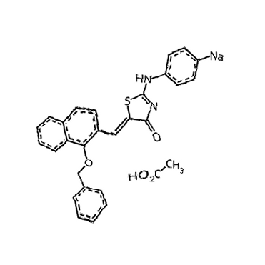 CC(=O)O.O=C1N=C(Nc2cc[c]([Na])cc2)S/C1=C\c1ccc2ccccc2c1OCc1ccccc1